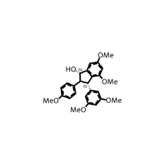 COc1ccc(C2[C@@H](c3cc(OC)cc(OC)c3)c3c(OC)cc(OC)cc3[C@H]2O)cc1